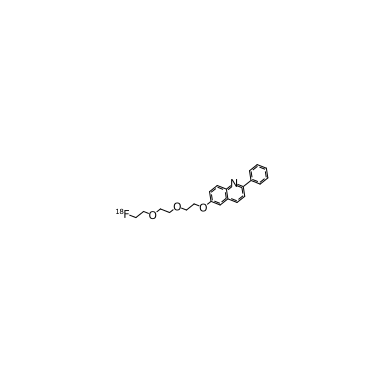 [18F]CCOCCOCCOc1ccc2nc(-c3ccccc3)ccc2c1